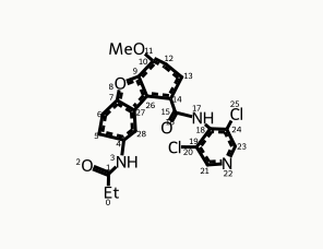 CCC(=O)Nc1ccc2oc3c(OC)ccc(C(=O)Nc4c(Cl)cncc4Cl)c3c2c1